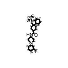 CS(=O)(=O)N1CC2(CCC(C(=O)NC3CCN(c4cccc(F)c4)CC3)CC2)c2ccccc21